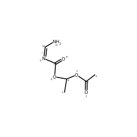 CC(=O)OC(C)OC(=O)/N=C\N